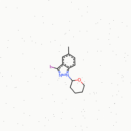 Cc1ccc2c(c1)c(I)nn2C1CCCCO1